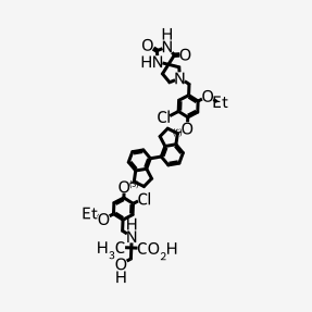 CCOc1cc(O[C@H]2CCc3c(-c4cccc5c4CC[C@@H]5Oc4cc(OCC)c(CN5CCC6(C5)NC(=O)NC6=O)cc4Cl)cccc32)c(Cl)cc1CNC(C)(CO)C(=O)O